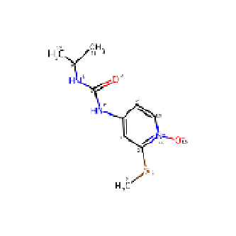 CSc1cc(NC(=O)NC(C)C)cc[n+]1[O-]